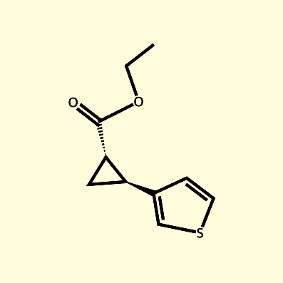 CCOC(=O)[C@H]1C[C@@H]1c1ccsc1